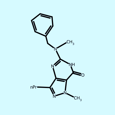 CCCc1nn(C)c2c(=O)[nH]c(N(C)Cc3ccccc3)nc12